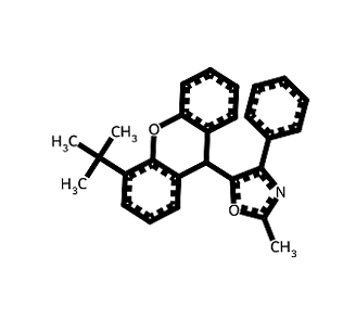 Cc1nc(-c2ccccc2)c(C2c3ccccc3Oc3c2cccc3C(C)(C)C)o1